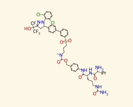 CC(C)C(N)C(=O)N[C@@H](CCCNC(N)=O)C(=O)Nc1ccc(COC(=O)N(C)CCCS(=O)(=O)c2cccc(-c3ccc(C4CC(C(O)(C(F)(F)F)C(F)(F)F)=NN4c4c(Cl)cccc4Cl)cc3)c2)cc1